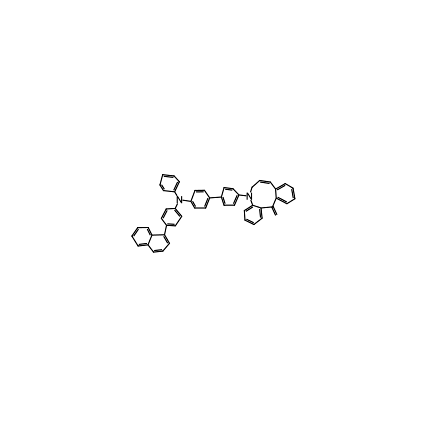 C=C1c2ccccc2/C=C\CN(c2ccc(-c3ccc(N(c4ccccc4)c4ccc(-c5cccc6ccccc56)cc4)cc3)cc2)c2ccccc21